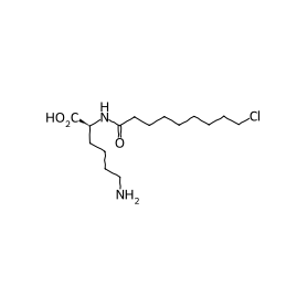 NCCCC[C@H](NC(=O)CCCCCCCCCl)C(=O)O